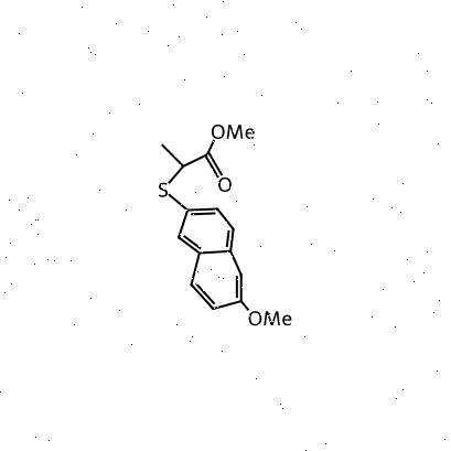 COC(=O)C(C)Sc1ccc2cc(OC)ccc2c1